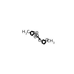 COc1cccc(OCCOS(=O)(=O)c2ccc(C)cc2)c1